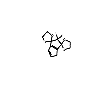 FC1(F)C2(OCCO2)C2=C(CC=C2)C12OCCO2